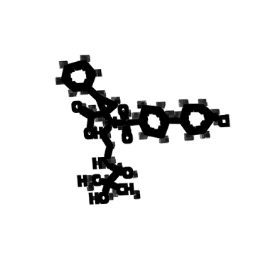 CC(C)(O)C(=O)NCCN(C1(C(=O)O)CC1c1ccccc1)S(=O)(=O)c1ccc(-c2ccc(Cl)cc2)cc1